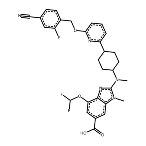 CN(c1nc2c(OC(F)F)cc(C(=O)O)cc2n1C)C1CCC(c2cccc(OCc3ccc(C#N)cc3F)n2)CC1